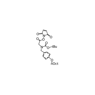 CCCCCCCCOc1ccc(CN(CC(=O)ON2C(=O)C=CC2=O)C(=O)OC(C)(C)C)cc1